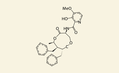 COc1ccnc(C(=O)N[C@H]2COC[C@H](Cc3ccccc3)[C@@H](Cc3ccccc3)[C@@H](C)OC2=O)c1O